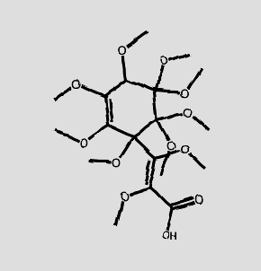 COC(C(=O)O)=C(OC)C1(OC)C(OC)=C(OC)C(OC)C(OC)(OC)C1(OC)OC